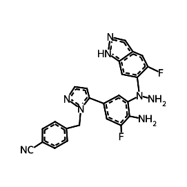 N#Cc1ccc(Cn2nccc2-c2cc(F)c(N)c(N(N)c3cc4[nH]ncc4cc3F)c2)cc1